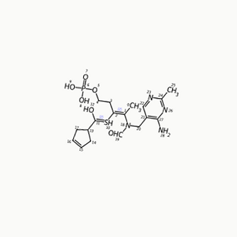 C/C(=C(CCOP(=O)(O)O)/[SH]=C(\O)C1CC=CC1)N(C=O)Cc1cnc(C)nc1N